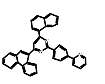 c1ccc(-c2ccc(-c3nc(-c4cccc5ccccc45)cc(-c4cc5ccccc5c5ccccc45)n3)cc2)nc1